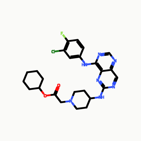 O=C(CN1CCC(Nc2ncc3ncnc(Nc4ccc(F)c(Cl)c4)c3n2)CC1)OC1CCCCC1